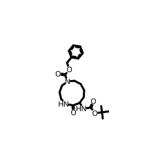 CC(C)(C)OC(=O)NC1CCCCN(C(=O)OCc2ccccc2)CCCNC1=O